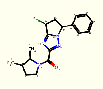 CC1C(C(F)(F)F)CCN1C(=O)c1nc2n(n1)[C@H](c1ccccc1)C[C@@H]2F